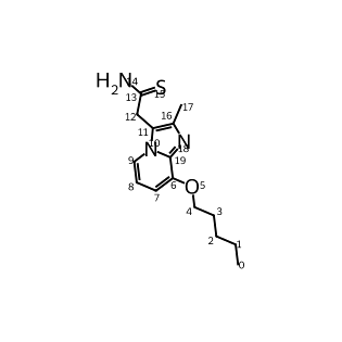 CCCCCOc1cccn2c(CC(N)=S)c(C)nc12